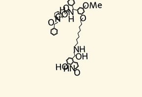 COc1cc(OCCCCCCCCCNC[C@@H](O)c2ccc(O)c3[nH]c(=O)ccc23)cc(C(NC(=O)O[C@H]2C[N+]3(CC(=O)c4ccccc4)CCC2CC3)c2ccccc2)c1